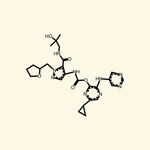 CC(C)(O)CNC(=O)c1c(NC(=O)Oc2nc(C3CC3)cnc2Nc2cncnc2)cnn1CC1CCCO1